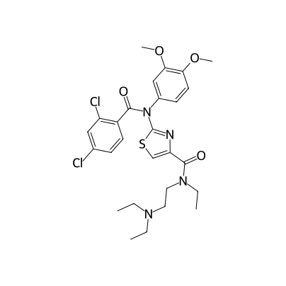 CCN(CC)CCN(CC)C(=O)c1csc(N(C(=O)c2ccc(Cl)cc2Cl)c2ccc(OC)c(OC)c2)n1